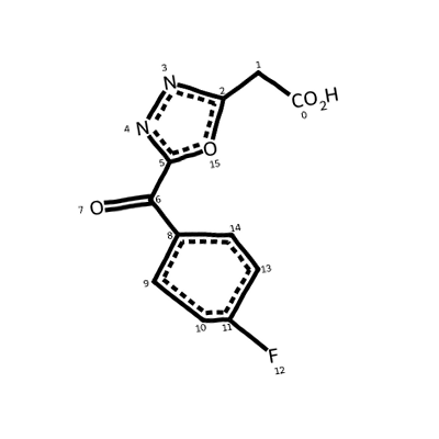 O=C(O)Cc1nnc(C(=O)c2ccc(F)cc2)o1